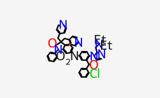 CCN(CC)Cc1nccn1-c1ccc([N+](=O)[O-])cc1C(=O)c1ccccc1Cl.O=C1N(c2ccccc2)c2ccccc2C1(Cc1ccncc1)Cc1ccncc1